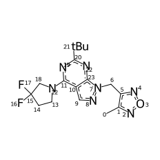 Cc1nonc1Cn1ncc2c(N3CCC(F)(F)C3)nc(C(C)(C)C)nc21